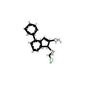 CC1=Cc2c(-c3ccccc3)cccc2[CH]1[Zr][CH2]Cl